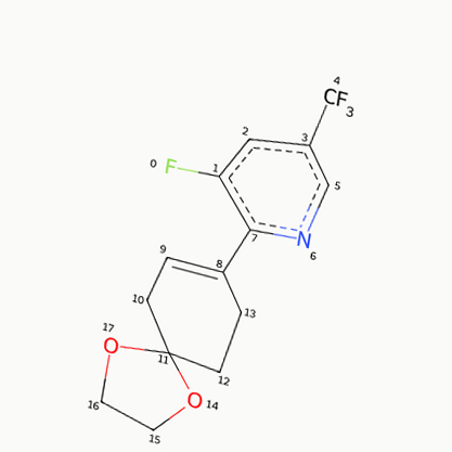 Fc1cc(C(F)(F)F)cnc1C1=CCC2(CC1)OCCO2